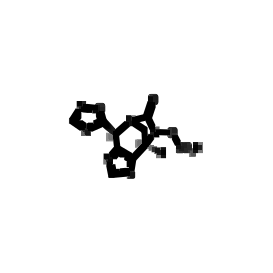 O=C1N2C[C@H](c3scnc3[C@H]2c2ncno2)N1OS(=O)(=O)O